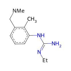 CCN=C(N)Nc1cccc(CNC)c1C